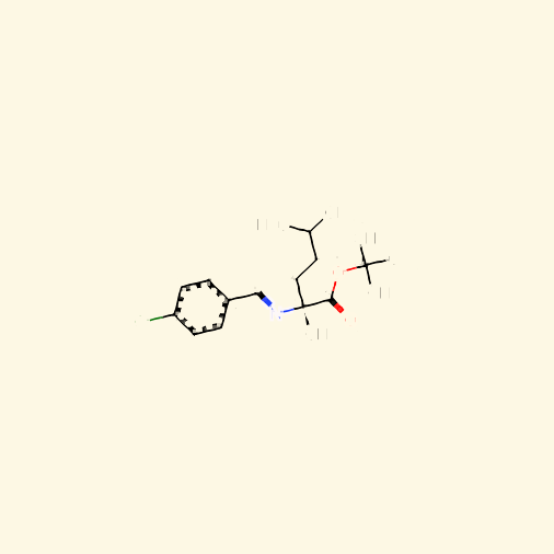 CC(C)CC[C@@](C)(N=Cc1ccc(Cl)cc1)C(=O)OC(C)(C)C